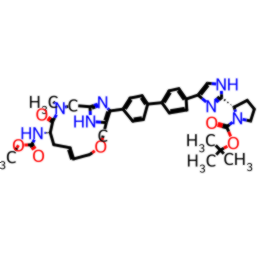 COC(=O)N[C@H]1C/C=C/COCc2[nH]c(nc2-c2ccc(-c3ccc(-c4c[nH]c([C@@H]5CCCN5C(=O)OC(C)(C)C)n4)cc3)cc2)CN(C)C1=O